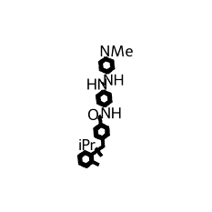 CNc1ccc(NNc2ccc(NC(=O)c3ccc(CC(C)(c4ccccc4C)C(C)C)cc3)cc2)cc1